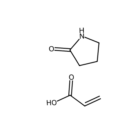 C=CC(=O)O.O=C1CCCN1